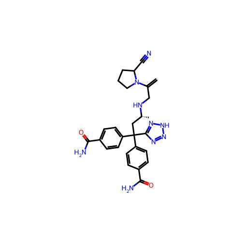 C=C(CN[C@H](C)CC(c1ccc(C(N)=O)cc1)(c1ccc(C(N)=O)cc1)c1nn[nH]n1)N1CCCC1C#N